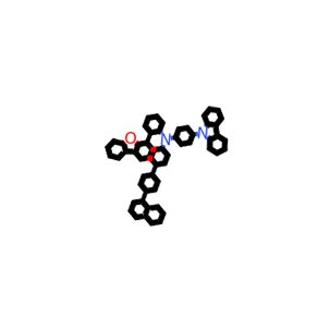 c1ccc(N(c2ccc(-c3ccc(-c4cccc5ccccc45)cc3)cc2)c2ccc(-n3c4ccccc4c4ccccc43)cc2)c(-c2cccc3c2oc2ccccc23)c1